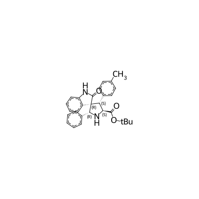 Cc1ccc([C@@H]2[C@@H](C(=O)OC(C)(C)C)N[C@H](c3ccccc3)[C@@]23C(=O)Nc2ccccc23)cc1